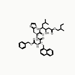 CCC(C)COC(=O)CC(O)C(CC(C)C)NC(=O)[C@H](Cc1nccs1)NC(=O)[C@H](Cc1cccc2ccccc12)NC(=O)OCc1ccccc1